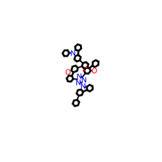 c1ccc(-c2ccc3c(c2)c2ccccc2n3-c2nc(-c3ccc4c(c3)oc3ccccc34)nc(-c3cccc4oc5ccc(-c6ccccc6-c6ccc7c(c6)c6ccccc6n7-c6ccccc6)cc5c34)n2)cc1